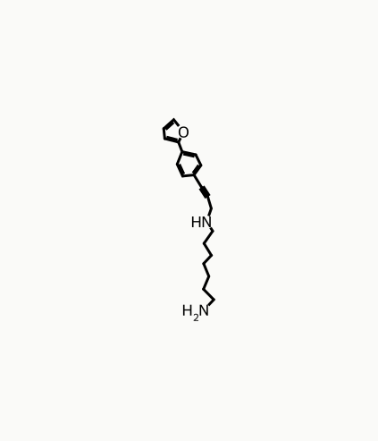 NCCCCCCCNCC#Cc1ccc(-c2ccco2)cc1